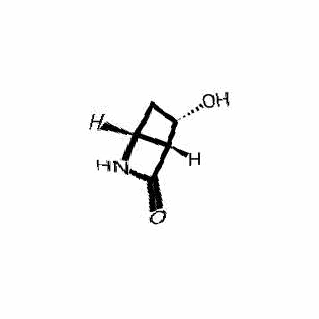 O=C1N[C@@H]2C[C@H](O)[C@H]12